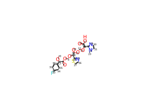 CO[C@H](C(=O)OCO[C@@H](C(=O)OCO[C@@H](C(=O)O)c1nccn1C)c1nccs1)c1ccc(F)cc1